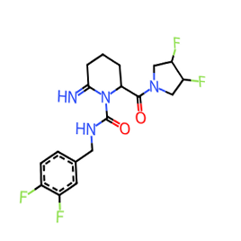 N=C1CCCC(C(=O)N2CC(F)C(F)C2)N1C(=O)NCc1ccc(F)c(F)c1